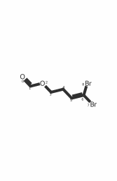 O=[C]OCCC=C(Br)Br